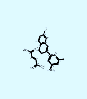 Cc1cc(N)cc(C2=Cc3cc(Cl)ccc3CC2)n1.O=C(O)C=CC(=O)O